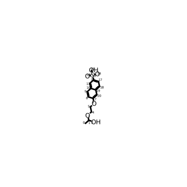 CC(O)OCCOc1ccc2cc(S(=O)(=O)O)ccc2c1